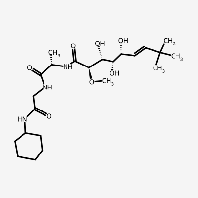 CO[C@@H](C(=O)N[C@@H](C)C(=O)NCC(=O)NC1CCCCC1)[C@H](O)[C@@H](O)[C@H](O)/C=C/C(C)(C)C